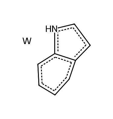 [W].c1ccc2[nH]ccc2c1